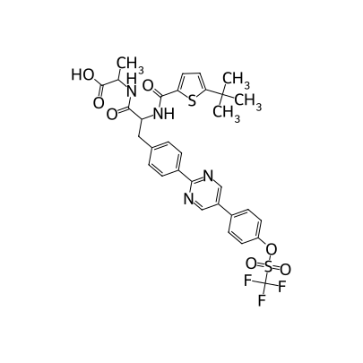 CC(NC(=O)C(Cc1ccc(-c2ncc(-c3ccc(OS(=O)(=O)C(F)(F)F)cc3)cn2)cc1)NC(=O)c1ccc(C(C)(C)C)s1)C(=O)O